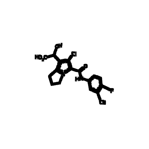 N#Cc1cc(NC(=O)c2c(Cl)c(C(O)C(=O)O)c3n2CCC3)ccc1F